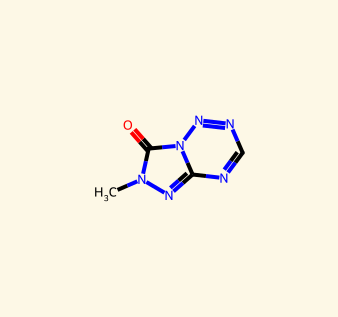 Cn1nc2ncnnn2c1=O